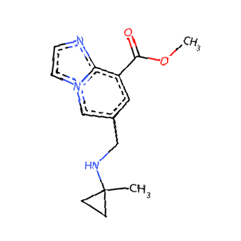 COC(=O)c1cc(CNC2(C)CC2)cn2ccnc12